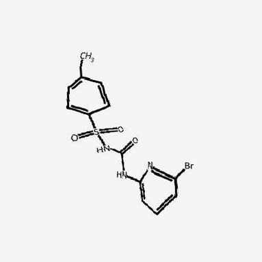 Cc1ccc(S(=O)(=O)NC(=O)Nc2cccc(Br)n2)cc1